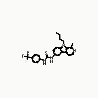 CCCCn1c2ccc(NC(=S)Nc3ccc(C(F)(F)F)cc3)cc2c2ccnc(C)c21